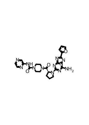 Nc1nc(N2CCC[C@H]2C(=O)N2CCN(C(=O)Nc3cnccn3)CC2)nc2nc(-c3ccco3)nn12